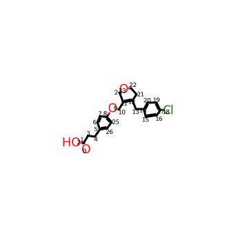 O=C(O)CCc1ccc(OCC2=C(Cc3ccc(Cl)cc3)CCOC2)cc1